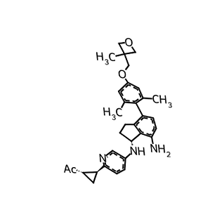 CC(=O)[C@H]1C[C@@H]1c1ccc(N[C@@H]2CCc3c(-c4c(C)cc(OCC5(C)COC5)cc4C)ccc(N)c32)cn1